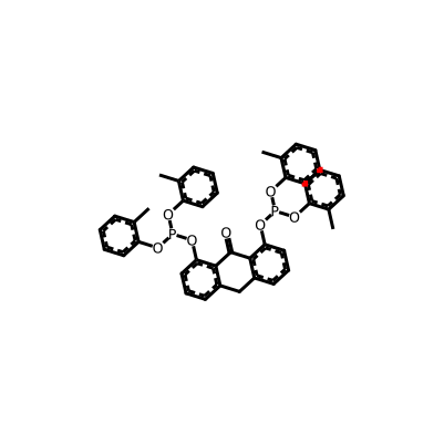 Cc1ccccc1OP(Oc1ccccc1C)Oc1cccc2c1C(=O)c1c(cccc1OP(Oc1ccccc1C)Oc1ccccc1C)C2